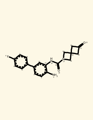 Nc1ccc(-c2ccc(F)cc2)cc1NC(=O)N1CC2(CC(=O)C2)C1